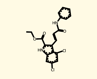 CCOC(=O)c1[nH]c2cc(Cl)cc(Cl)c2c1C=CC(=O)Nc1ccccc1